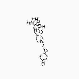 CNC(=O)CN(CC1CCN(CCOc2ccc(Cl)cc2)CC1)C(=O)O